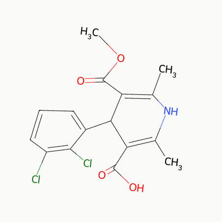 COC(=O)C1=C(C)NC(C)=C(C(=O)O)C1c1cccc(Cl)c1Cl